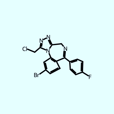 Fc1ccc(C2=NCc3nnc(CCl)n3-c3cc(Br)ccc32)cc1